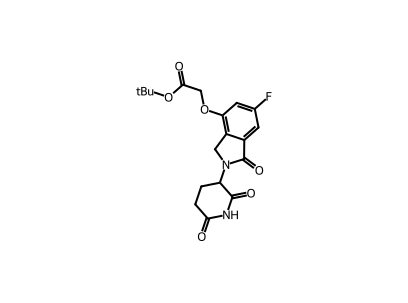 CC(C)(C)OC(=O)COc1cc(F)cc2c1CN(C1CCC(=O)NC1=O)C2=O